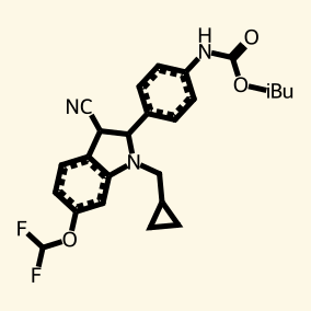 CCC(C)OC(=O)Nc1ccc(C2C(C#N)c3ccc(OC(F)F)cc3N2CC2CC2)cc1